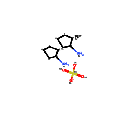 NC1CCCC1.NC1CCCC1.O=S(=O)([O-])[O-].[Pt+2]